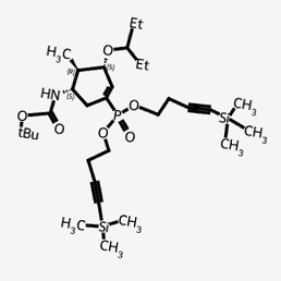 CCC(CC)O[C@@H]1C=C(P(=O)(OCCC#C[Si](C)(C)C)OCCC#C[Si](C)(C)C)C[C@H](NC(=O)OC(C)(C)C)[C@H]1C